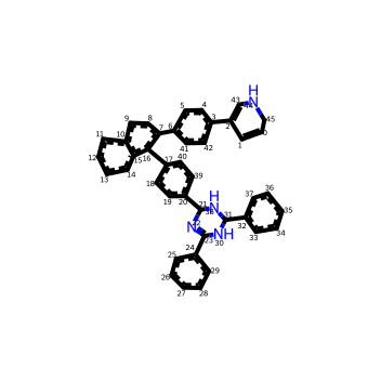 C1=CC(c2ccc(-c3ccc4ccccc4c3-c3ccc(C4N=C(c5ccccc5)NC(c5ccccc5)N4)cc3)cc2)=CNC1